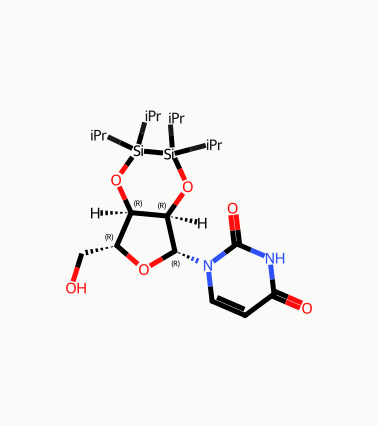 CC(C)[Si]1(C(C)C)O[C@@H]2[C@H](O[Si]1(C(C)C)C(C)C)[C@@H](CO)O[C@H]2n1ccc(=O)[nH]c1=O